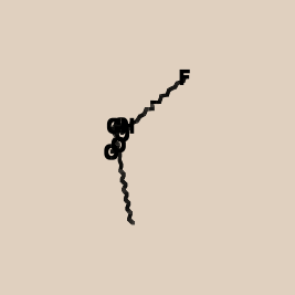 CCCCCCCCCCCCCCCC(=O)OC[C@H](CO)OC(=O)CCCCCCCCCCCCCCCF